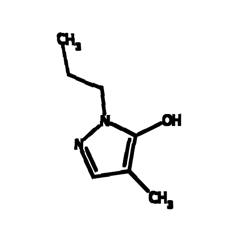 CCCn1ncc(C)c1O